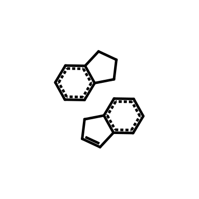 C1=Cc2ccccc2C1.c1ccc2c(c1)CCC2